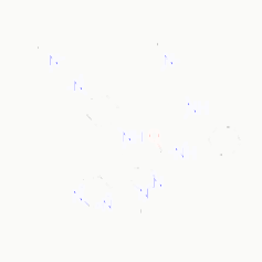 CN1CCC(NC[C@@H](NC(=O)c2nn(C)c3c2C(Nc2ccc(N4CCN(C)CC4)cc2)Cc2cncnc2-3)c2ccccc2)CC1